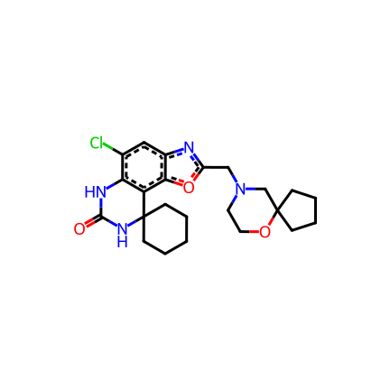 O=C1Nc2c(Cl)cc3nc(CN4CCOC5(CCCC5)C4)oc3c2C2(CCCCC2)N1